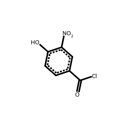 O=C(Cl)c1ccc(O)c([N+](=O)[O-])c1